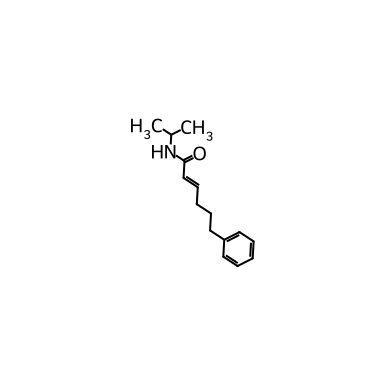 CC(C)NC(=O)C=CCCCc1ccccc1